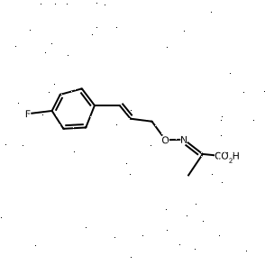 CC(=NOC/C=C/c1ccc(F)cc1)C(=O)O